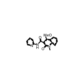 COc1c(C(=O)Nc2ccccn2)c(=O)n(C)c2ccccc12